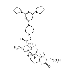 C[C@@H]1C[C@H]2[C@@H]3CCC4=CC(=O)C(CS(=O)(=O)O)=C[C@]4(C)C3=CC[C@]2(C)[C@H]1C(=O)CN1CCN(c2cc(N3CCCC3)nc(N3CCCC3)n2)CC1